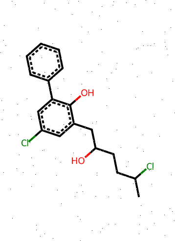 CC(Cl)CCC(O)Cc1cc(Cl)cc(-c2ccccc2)c1O